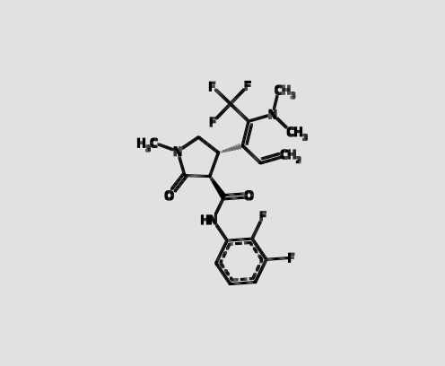 C=C/C(=C(\N(C)C)C(F)(F)F)[C@H]1CN(C)C(=O)[C@@H]1C(=O)Nc1cccc(F)c1F